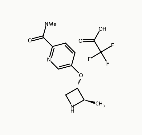 CNC(=O)c1ccc(O[C@H]2CN[C@@H]2C)cn1.O=C(O)C(F)(F)F